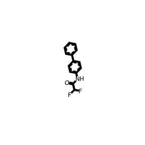 O=C(Nc1ccc(-c2ccccc2)cc1)C(F)F